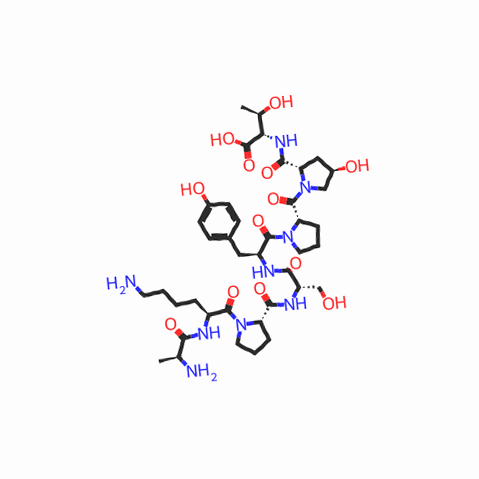 C[C@H](N)C(=O)N[C@@H](CCCCN)C(=O)N1CCC[C@H]1C(=O)N[C@@H](CO)C(=O)N[C@@H](Cc1ccc(O)cc1)C(=O)N1CCC[C@H]1C(=O)N1C[C@H](O)C[C@H]1C(=O)N[C@H](C(=O)O)[C@@H](C)O